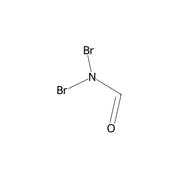 O=CN(Br)Br